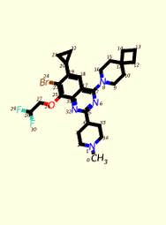 CN1CCC(c2nc(N3CCC4(CCC4)CC3)c3cc(C4CC4)c(Br)c(OCC(F)F)c3n2)CC1